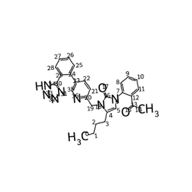 CCCCc1cn(-c2ccccc2C(C)=O)c(=O)n1Cc1ccc(-c2ccccc2-c2nnn[nH]2)cn1